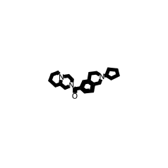 O=C(c1ccc2c(c1)CCN(C1CCCC1)C2)N1CCN2CCCCC2C1